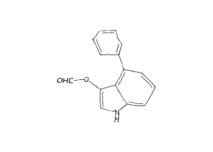 O=COc1c[nH]c2cccc(-c3ccccc3)c12